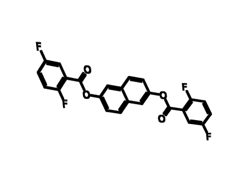 O=C(Oc1ccc2cc(OC(=O)c3cc(F)ccc3F)ccc2c1)c1cc(F)ccc1F